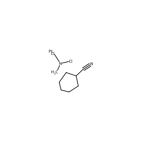 CN(Cl)Cl.N#CC1CCCCC1.[Pt]